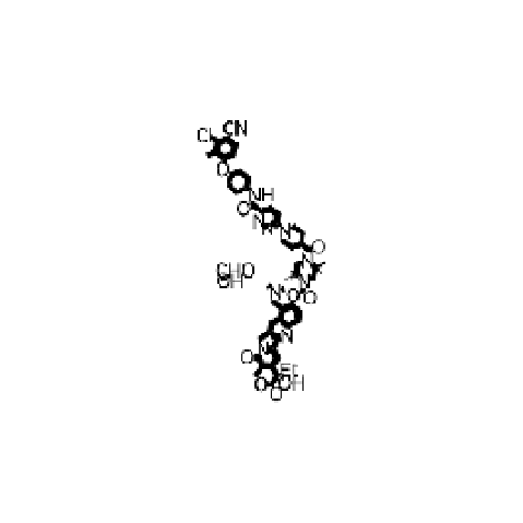 CC[C@@]1(O)C(=O)OCc2c1cc1n(c2=O)Cc2cc3c(CN(C)C)c(OC(=O)N4C[C@H](C)N(C(=O)C5CCN(c6ccc(C(=O)NC7CCC(Oc8ccc(C#N)c(Cl)c8C)CC7)nn6)CC5)C[C@H]4C)ccc3nc2-1.O=CO